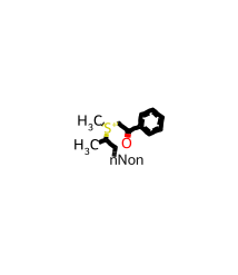 CCCCCCCCCCC(C)[S+](C)CC(=O)c1ccccc1